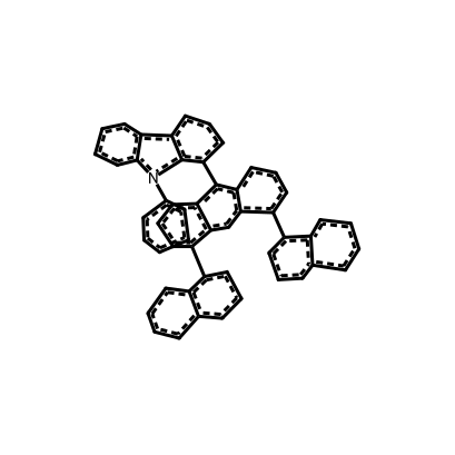 c1ccc(-n2c3ccccc3c3cccc(-c4c5cccc(-c6cccc7ccccc67)c5cc5c(-c6cccc7ccccc67)cccc45)c32)cc1